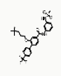 CC(C)(C)CCCOc1cc(C(=O)Nc2cccc(NS(C)(=O)=O)c2)ccc1-c1ccc(C(F)(F)F)cc1